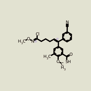 CO/N=C(\Cl)CCC/C=C(/c1cccc(C#N)c1)c1cc(C)c(OC)c(C(=O)S)c1